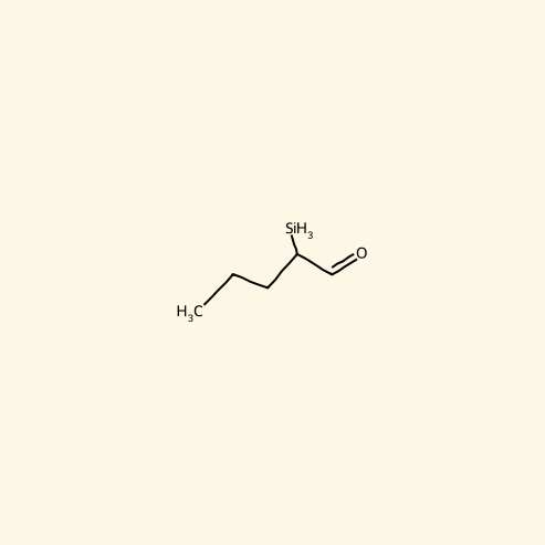 CCCC([SiH3])C=O